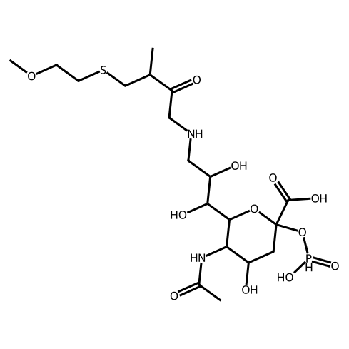 COCCSCC(C)C(=O)CNCC(O)C(O)C1OC(O[PH](=O)O)(C(=O)O)CC(O)C1NC(C)=O